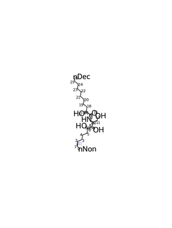 CCCCCCCCC/C=C\CCC[C@@H](O)[C@@H](O)[C@H](CO)NC(=O)[C@H](O)CCCCCCCCCCCCCCCCCC